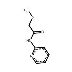 CSCC(=O)Nc1ccccn1